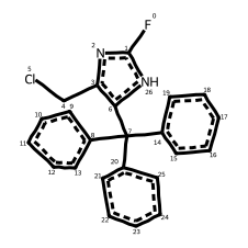 Fc1nc(CCl)c(C(c2ccccc2)(c2ccccc2)c2ccccc2)[nH]1